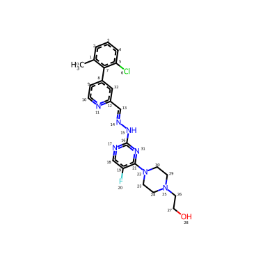 Cc1cccc(Cl)c1-c1ccnc(/C=N/Nc2ncc(F)c(N3CCN(CCO)CC3)n2)c1